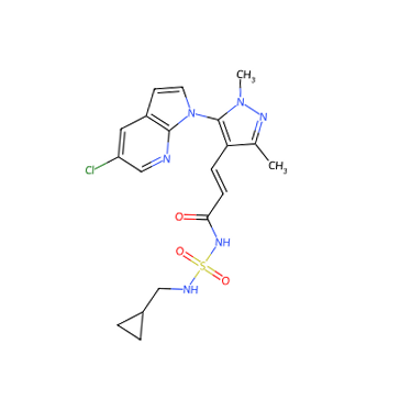 Cc1nn(C)c(-n2ccc3cc(Cl)cnc32)c1C=CC(=O)NS(=O)(=O)NCC1CC1